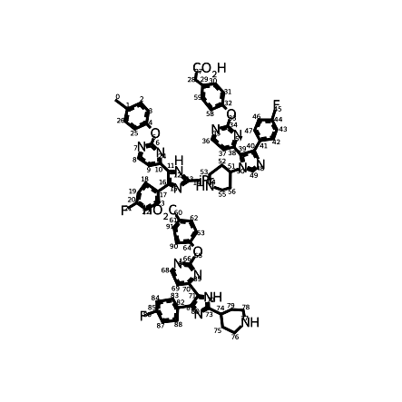 Cc1ccc(Oc2nccc(-c3[nH]c(C(C)C)nc3-c3ccc(F)cc3)n2)cc1.O=C(O)Cc1ccc(Oc2nccc(-c3c(-c4ccc(F)cc4)ncn3C3CCNCC3)n2)cc1.O=C(O)c1ccc(Oc2nccc(-c3[nH]c(C4CCNCC4)nc3-c3ccc(F)cc3)n2)cc1